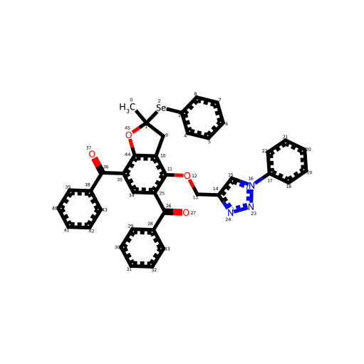 CC1([Se]c2ccccc2)Cc2c(OCc3cn(-c4ccccc4)nn3)c(C(=O)c3ccccc3)cc(C(=O)c3ccccc3)c2O1